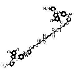 N[C@@H]1CCCN([C@H]2Cc3c(Cl)cc(Cl)cc3[C@@H]2Oc2ccc([S+]([O-])N3CC[C@@H](OCCOCCNC(=O)NCCCCNC(=O)NCCOCCO[C@@H]4CCN(S(=O)(=O)c5ccc(O[C@H]6c7cc(Cl)cc(Cl)c7C[C@@H]6N6CCC[C@@H](N)C6)cc5)C4)C3)cc2)C1